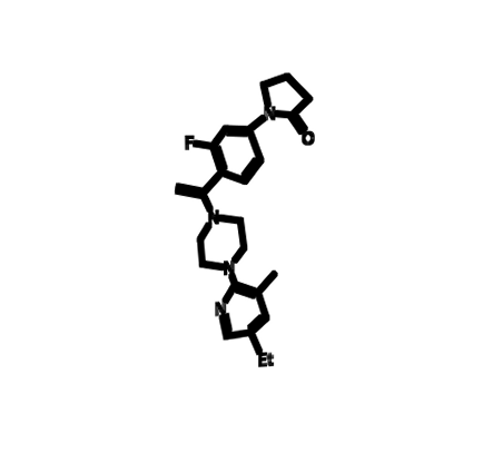 C=C(c1ccc(N2CCCC2=O)cc1F)N1CCN(c2ncc(CC)cc2C)CC1